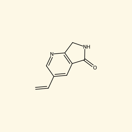 C=Cc1cnc2c(c1)C(=O)NC2